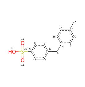 Cc1ccc(Cc2ccc(S(=O)(=O)O)cc2)cc1